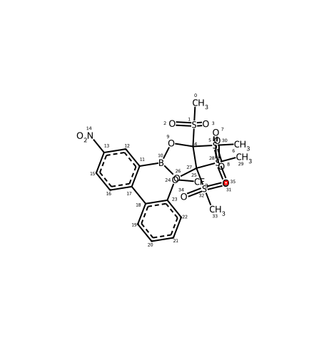 CS(=O)(=O)C1(S(C)(=O)=O)OB(c2cc([N+](=O)[O-])ccc2-c2ccccc2OC(F)(F)F)OC1(S(C)(=O)=O)S(C)(=O)=O